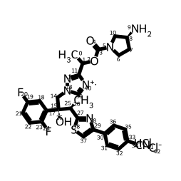 CC(OC(=O)N1CC[C@H](N)C1)C1=NN(C[C@](O)(c2cc(F)ccc2F)[C@@H](C)c2nc(-c3ccc(C#N)cc3)cs2)C=[N+]1.Cl.[Cl-]